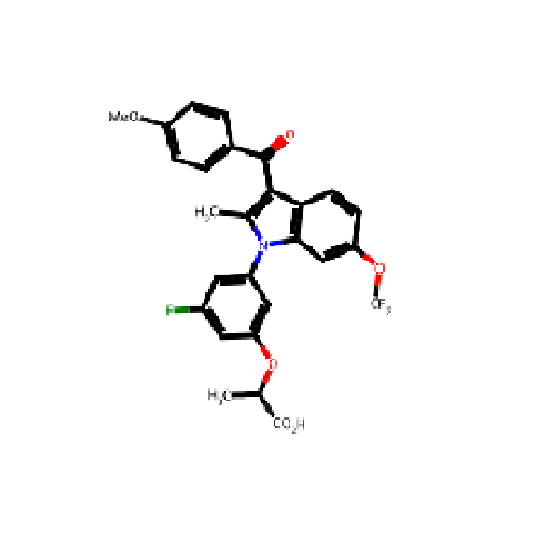 COc1ccc(C(=O)c2c(C)n(-c3cc(F)cc(OC(C)C(=O)O)c3)c3cc(OC(F)(F)F)ccc23)cc1